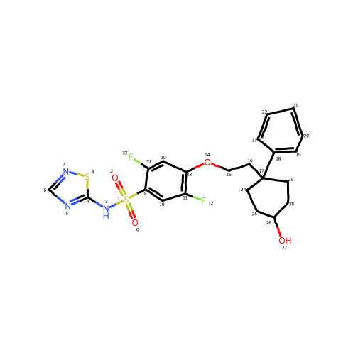 O=S(=O)(Nc1ncns1)c1cc(F)c(OCCC2(c3ccccc3)CCC(O)CC2)cc1F